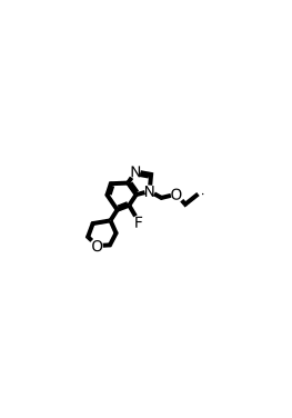 [CH2]COCn1cnc2ccc(C3CCOCC3)c(F)c21